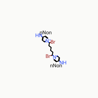 CCCCCCCCCNc1cc[n+](C(Br)CCCCC(Br)[n+]2ccc(NCCCCCCCCC)cc2)cc1